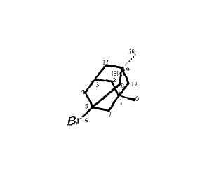 C[C@]12CC3CC(Br)(C1)C[C@@](C)(C3)C2